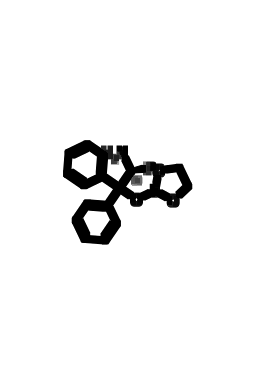 CC(C)[C@H](N)C(OB1OCCO1)(c1ccccc1)c1ccccc1